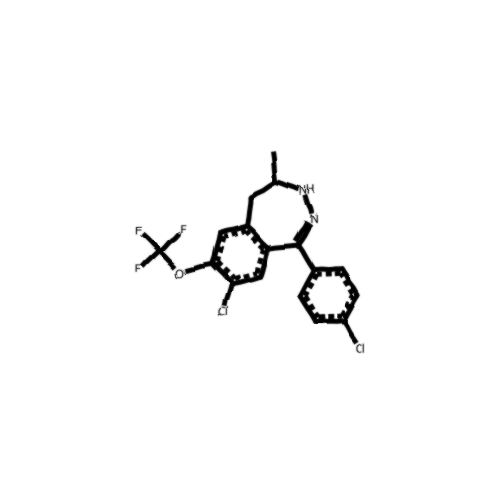 CC1Cc2cc(OC(F)(F)F)c(Cl)cc2C(c2ccc(Cl)cc2)=NN1